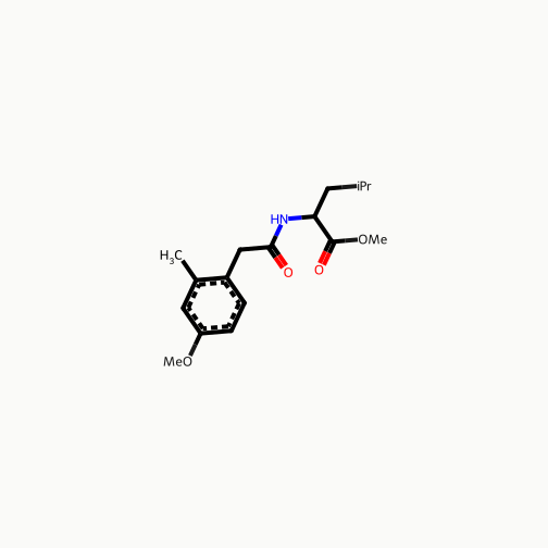 COC(=O)C(CC(C)C)NC(=O)Cc1ccc(OC)cc1C